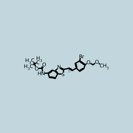 COCOc1ccc(/C=C/c2nc3cc(NC(=O)OC(C)(C)C)ccc3s2)cc1Br